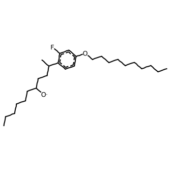 CCCCCCCCCCOc1ccc(C(C)CCC([O])CCCCCC)c(F)c1